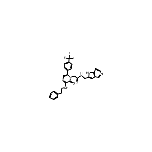 O=C(Cn1c(-c2ccc(C(F)(F)F)cc2)cnc(NCCc2ccccc2)c1=O)NCc1cc2cnccc2[nH]1